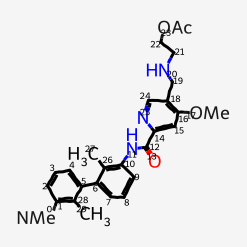 CNc1cccc(-c2cccc(NC(=O)c3cc(OC)c(CNCCOC(C)=O)cn3)c2C)c1C